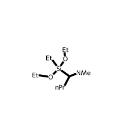 CCCC(NC)[Si](CC)(OCC)OCC